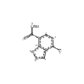 COC(=O)c1cnc(Cl)c2ccoc12